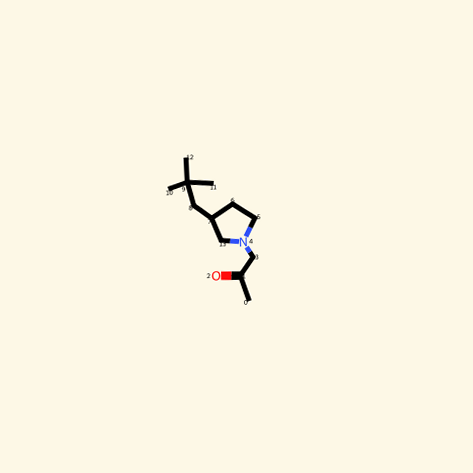 CC(=O)CN1CCC(CC(C)(C)C)C1